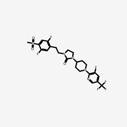 CS(=O)(=O)c1cc(F)c(CCN2CCN(C3CCN(c4ncc(C(F)(F)F)cc4F)CC3)C2=O)cc1F